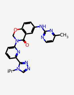 Cc1ccnc(Nc2ccc3c(c2)C(=O)N(c2cccc(-c4nncn4C(C)C)n2)CO3)n1